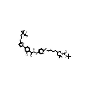 CC(C)(C)OC(=O)N1CC(CCCCOc2ccc(SNC(=O)c3ccc(-n4ccc(OCCC5(C(F)(F)F)CC5)n4)nc3Cl)cn2)CC1(C)C